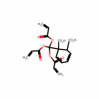 C=CC(=O)OC(OC(=O)C=C)(OC(=O)C=C)C1(C(=O)O)C=CC=CC1C(=O)O